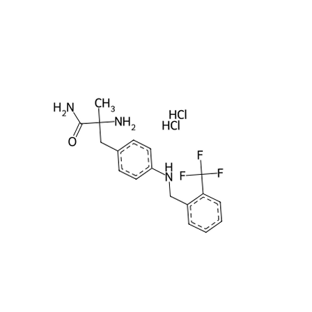 CC(N)(Cc1ccc(NCc2ccccc2C(F)(F)F)cc1)C(N)=O.Cl.Cl